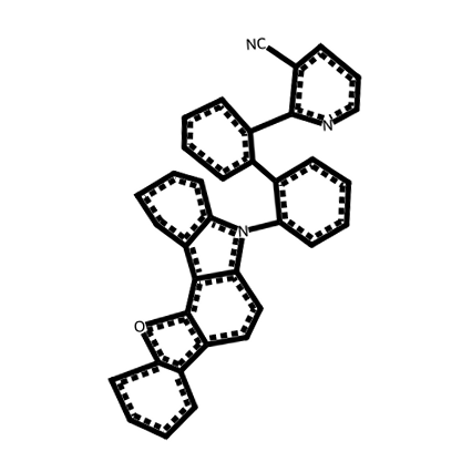 N#Cc1cccnc1-c1ccccc1-c1ccccc1-n1c2ccccc2c2c3oc4ccccc4c3ccc21